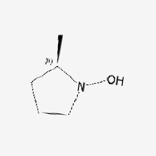 C[C@@H]1CCCN1O